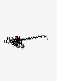 CCCCCCCCCCCCCCCCCCNC(=O)O[N+]1(CC)C(C)=C(C2CCN2C(C)=O)C(C(=O)OC)=C(N)C1C.[Cl-]